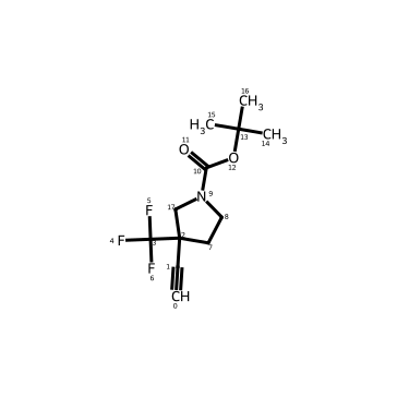 C#CC1(C(F)(F)F)CCN(C(=O)OC(C)(C)C)C1